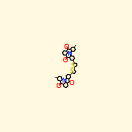 Cc1ccc2c(c1)c(=O)c1cccc3c(=O)c4cc(-c5ccc(-c6ccc(-c7ccc8c(c7)c(=O)c7cccc9c(=O)c%10cc(C)ccc%10n8c97)s6)s5)ccc4n2c13